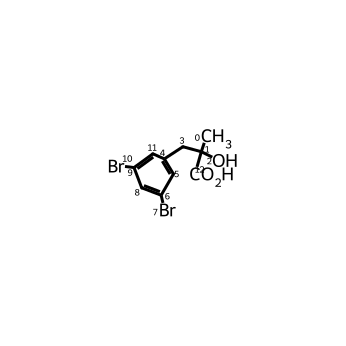 CC(O)(Cc1cc(Br)cc(Br)c1)C(=O)O